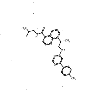 Cc1ccc(-c2cc(NC[C@@H](C)c3cccc4c(C(=O)NCC(C)F)ccnc34)ncn2)cn1